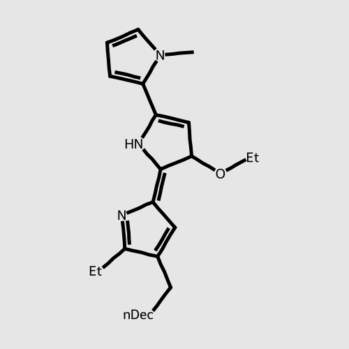 CCCCCCCCCCCC1=CC(=C2NC(c3cccn3C)=CC2OCC)N=C1CC